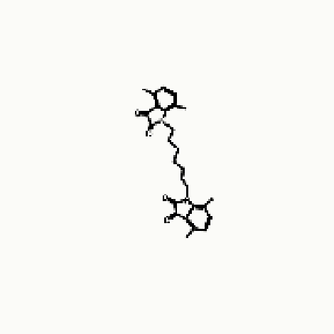 Cc1ccc(C)c2c1C(=O)C(=O)N2CCCCCCCN1C(=O)C(=O)c2c(C)ccc(C)c21